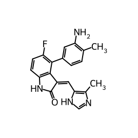 Cc1ccc(-c2c(F)ccc3c2/C(=C/c2[nH]cnc2C)C(=O)N3)cc1N